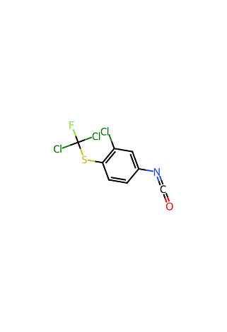 O=C=Nc1ccc(SC(F)(Cl)Cl)c(Cl)c1